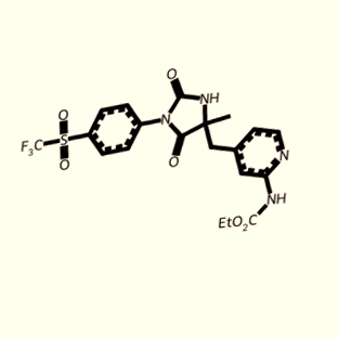 CCOC(=O)Nc1cc(CC2(C)NC(=O)N(c3ccc(S(=O)(=O)C(F)(F)F)cc3)C2=O)ccn1